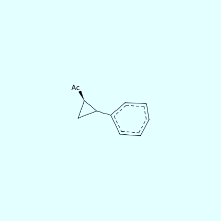 CC(=O)[C@@H]1CC1c1ccccc1